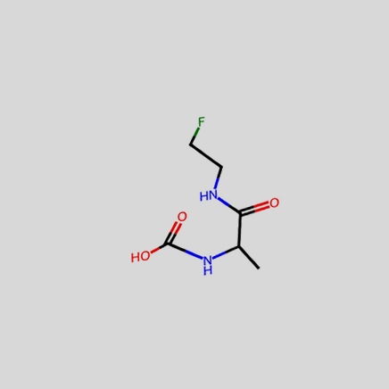 CC(NC(=O)O)C(=O)NCCF